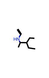 C=CNC(C)C(CC)CC